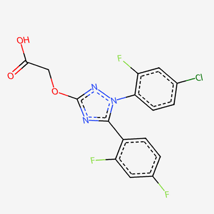 O=C(O)COc1nc(-c2ccc(F)cc2F)n(-c2ccc(Cl)cc2F)n1